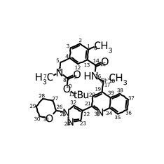 Cc1ccc(CN(C)C(=O)OC(C)(C)C)cc1C(=O)N[C@H](C)c1cc(-c2cnn(C3CCCCO3)c2)nc2ccccc12